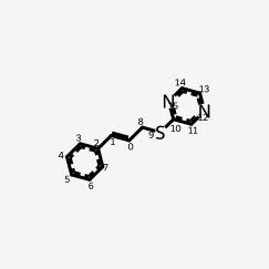 C(=C\c1ccccc1)/CSc1cnccn1